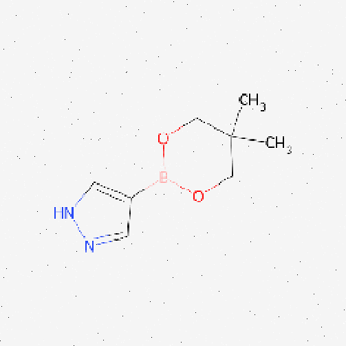 CC1(C)COB(c2cn[nH]c2)OC1